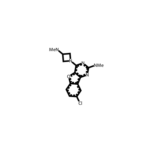 CNc1nc(N2CC(NC)C2)c2oc3ccc(Cl)cc3c2n1